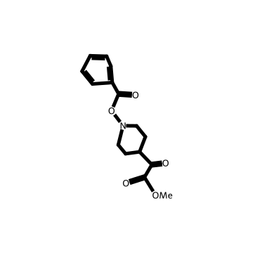 COC(=O)C(=O)C1CCN(OC(=O)c2ccccc2)CC1